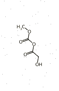 COC(=O)OC(=O)CO